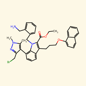 CCOC(=O)c1c(CCCOc2cccc3ccccc23)c2cccc(-c3c(CBr)nn(C)c3C)c2n1Cc1ccccc1CN